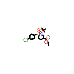 CCOC(=O)C1CC[C@H](Cc2ccc(Cl)cc2)N([S+]([O-])C(C)(C)C)C1